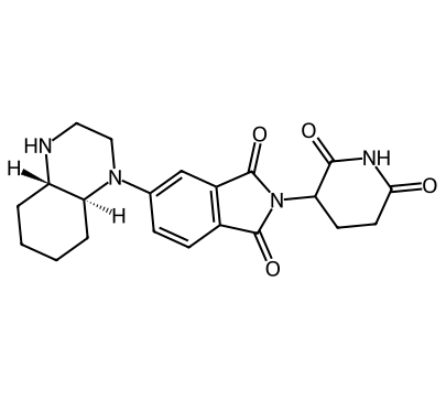 O=C1CCC(N2C(=O)c3ccc(N4CCN[C@H]5CCCC[C@@H]54)cc3C2=O)C(=O)N1